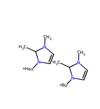 CCCCCCN1C=CN(C)C1C.CCCCN1C=CN(C)C1C